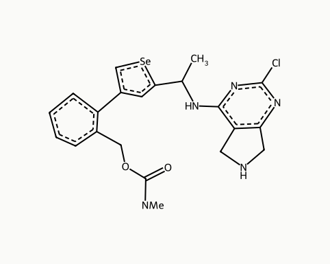 CNC(=O)OCc1ccccc1-c1c[se]c(C(C)Nc2nc(Cl)nc3c2CNC3)c1